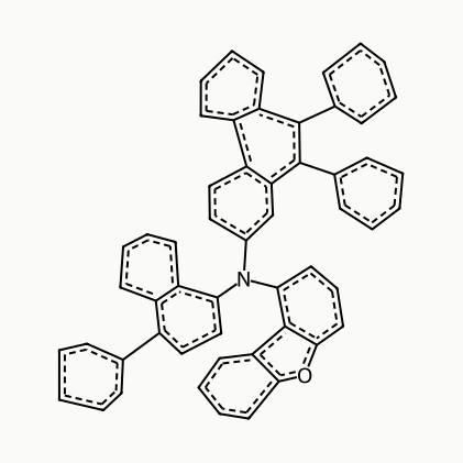 c1ccc(-c2ccc(N(c3ccc4c(c3)c(-c3ccccc3)c(-c3ccccc3)c3ccccc34)c3cccc4oc5ccccc5c34)c3ccccc23)cc1